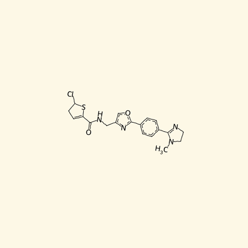 CN1CCN=C1c1ccc(-c2nc(CNC(=O)C3=CCC(Cl)S3)co2)cc1